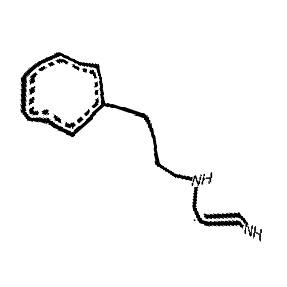 N=[C]NCCc1ccccc1